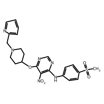 CS(=O)(=O)c1ccc(Nc2ncnc(OC3CCN(Cc4ccccn4)CC3)c2[N+](=O)[O-])cc1